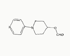 O=COC1CCN(c2ccncc2)CC1